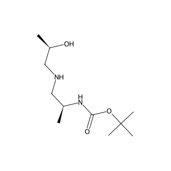 C[C@@H](O)CNC[C@H](C)NC(=O)OC(C)(C)C